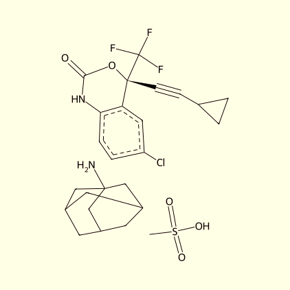 CS(=O)(=O)O.NC12CC3CC(CC(C3)C1)C2.O=C1Nc2ccc(Cl)cc2[C@@](C#CC2CC2)(C(F)(F)F)O1